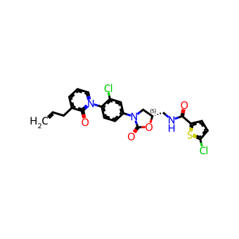 C=CCc1cccn(-c2ccc(N3C[C@H](CNC(=O)c4ccc(Cl)s4)OC3=O)cc2Cl)c1=O